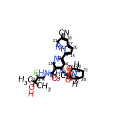 CC(C)(O)[C@H](F)CNC(=O)c1cnc(-c2ccc3cc(C#N)cnn23)cc1N[C@@H]1C[C@H]2CC[C@@H](C1)N2S(C)(=O)=O